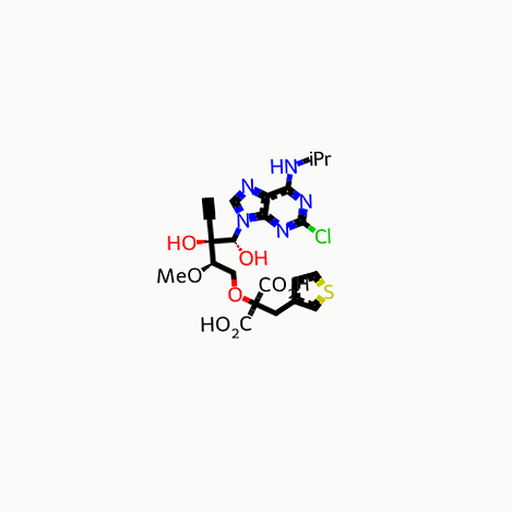 C#C[C@@](O)([C@@H](COC(Cc1ccsc1)(C(=O)O)C(=O)O)OC)[C@@H](O)n1cnc2c(NC(C)C)nc(Cl)nc21